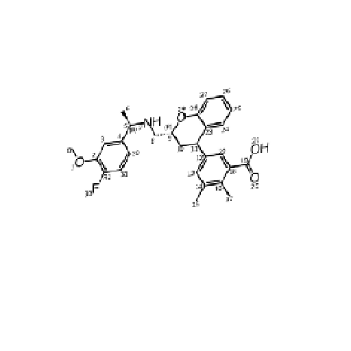 COc1cc([C@@H](C)NC[C@H]2CC(c3cc(C)c(C)c(C(=O)O)c3)c3ccccc3O2)ccc1F